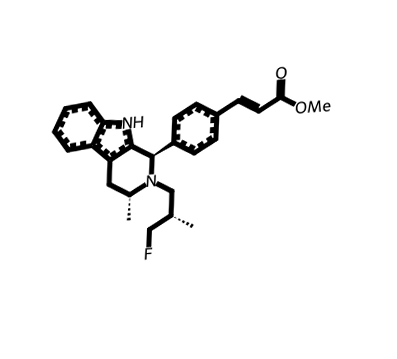 COC(=O)/C=C/c1ccc([C@@H]2c3[nH]c4ccccc4c3C[C@@H](C)N2C[C@H](C)CF)cc1